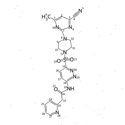 Cc1cc(C#N)nc(N2CCN(S(=O)(=O)c3ccc(NC(=O)Cc4ccccn4)nn3)CC2)n1